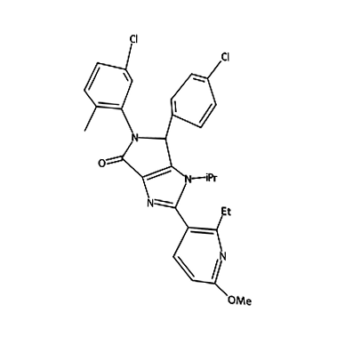 CCc1nc(OC)ccc1-c1nc2c(n1C(C)C)C(c1ccc(Cl)cc1)N(c1cc(Cl)ccc1C)C2=O